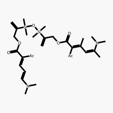 C=C(COC(=O)/C(=C/C=C/N(C)C)C(C)=O)[Si](C)(C)O[Si](C)(C)C(=C)COC(=O)/C(C(C)=O)=C(C)/C=C(/C)N(C)C